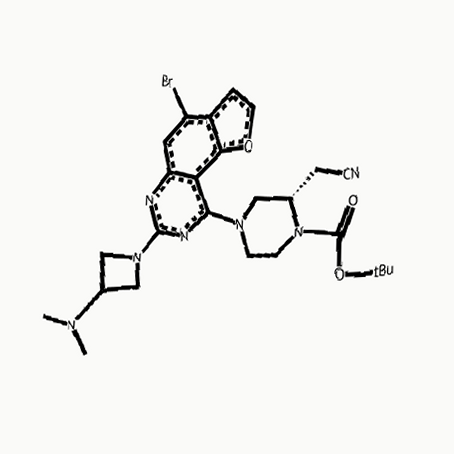 CN(C)C1CN(c2nc(N3CCN(C(=O)OC(C)(C)C)[C@@H](CC#N)C3)c3c(cc(Br)c4ccoc43)n2)C1